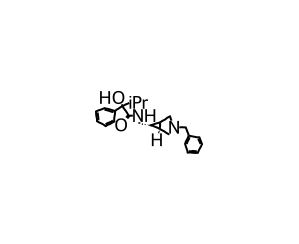 CC(C)C(O)(C(=O)NC[C@@H]1C2CN(Cc3ccccc3)C[C@H]21)c1ccccc1